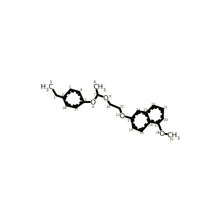 CCc1ccc(OC(C)OCCOc2ccc3c(OC)cccc3c2)cc1